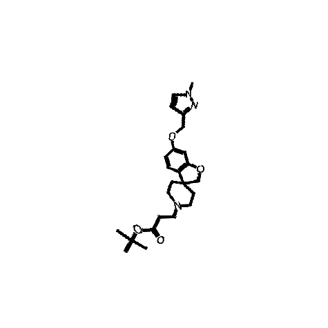 Cn1ccc(COc2ccc3c(c2)OCC32CCN(CCC(=O)OC(C)(C)C)CC2)n1